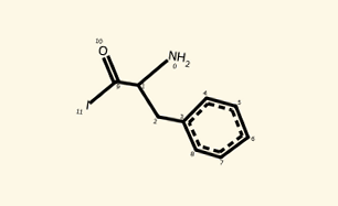 NC(Cc1ccccc1)C(=O)I